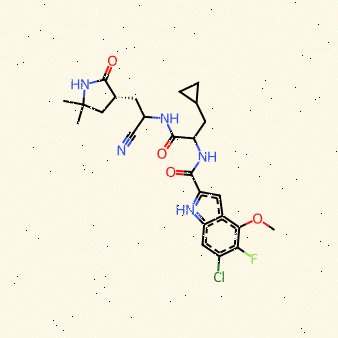 COc1c(F)c(Cl)cc2[nH]c(C(=O)NC(CC3CC3)C(=O)NC(C#N)C[C@@H]3CC(C)(C)NC3=O)cc12